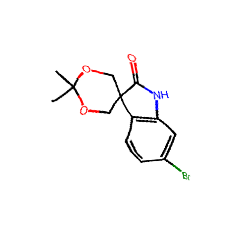 CC1(C)OCC2(CO1)C(=O)Nc1cc(Br)ccc12